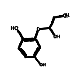 OCC(O)Oc1cc(O)ccc1O